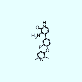 Cc1ccc(Oc2ccc(-c3cc[nH]c(=O)c3N)cc2F)c(C)n1